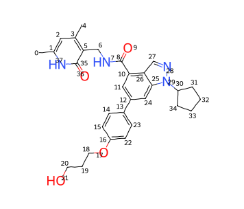 Cc1cc(C)c(CNC(=O)c2cc(-c3ccc(OCCCO)cc3)cc3c2cnn3C2CCCC2)c(=O)[nH]1